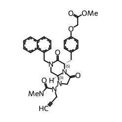 C#CCN(C(=O)NC)N1CC(=O)N2[C@@H](Cc3ccc(OCC(=O)OC)cc3)C(=O)N(Cc3cccc4ccccc34)C[C@@H]21